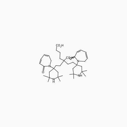 CC1(C)CC(CCC(CCCC(=O)O)(CCC2(N3CC=CC=CC3=O)CC(C)(C)NC(C)(C)C2)C(=O)O)(N2CC=CC=CC2=O)CC(C)(C)N1